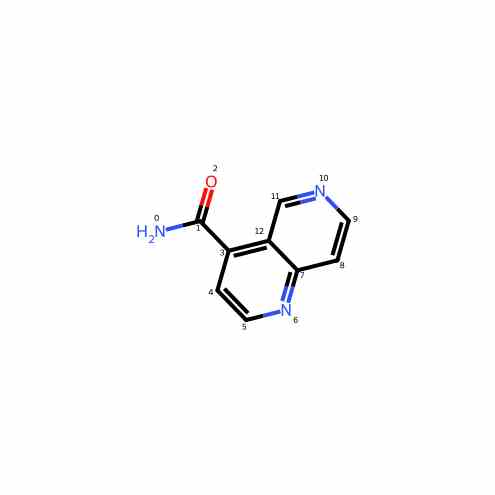 NC(=O)c1ccnc2ccncc12